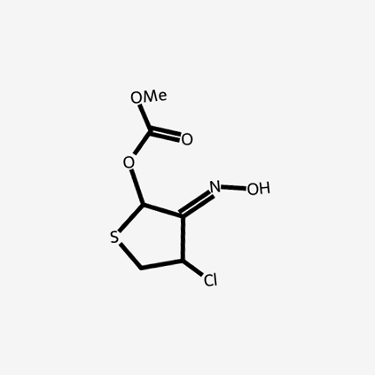 COC(=O)OC1SCC(Cl)C1=NO